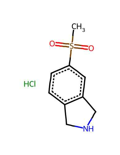 CS(=O)(=O)c1ccc2c(c1)CNC2.Cl